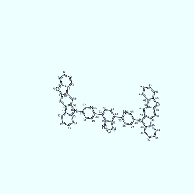 c1ccc2c(c1)oc1cc3c4ccccc4n(-c4ccc(-c5ccc(-c6ccc(-n7c8ccccc8c8cc9oc%10ccccc%10c9cc87)cn6)c6nonc56)nc4)c3cc12